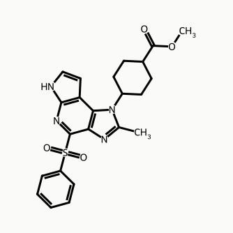 COC(=O)C1CCC(n2c(C)nc3c(S(=O)(=O)c4ccccc4)nc4[nH]ccc4c32)CC1